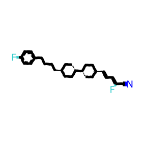 N#CC(F)=CC=C[C@H]1CC[C@H]([C@H]2CC[C@H](CCCCc3ccc(F)cc3)CC2)CC1